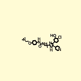 CN(C)CCOc1ccc(NC(=O)NCC(C)(C)c2nc(-c3ccc(Cl)c(O)c3)c(-c3ccncc3)[nH]2)cc1